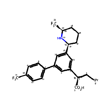 CC(C)C[C@@H](C(=O)O)c1cc(-c2ccc(C(F)(F)F)cc2)cc([C@@H]2CCC[C@H](C(F)(F)F)N2)c1